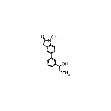 CCC(O)c1cncc(-c2ccc3c(c2)CC(=O)N3C)c1